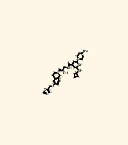 CC(C)(C)N1CCN(C2CC(C(=O)NC[C@H](O)CN3CCc4cc(OCc5cnco5)ccc4C3)CC(NC3CCC3)N2)CC1